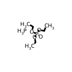 CCOP(=O)(OCC)OCC.P